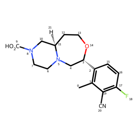 Cc1c([C@@H]2CN3CCN(C(=O)O)C[C@H]3CCO2)ccc(F)c1C#N